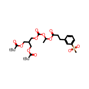 CC(OC(=O)CCc1cccc(S(C)(=O)=O)c1)OC(=O)OCC(COC(=O)C(C)(C)C)COC(=O)C(C)(C)C